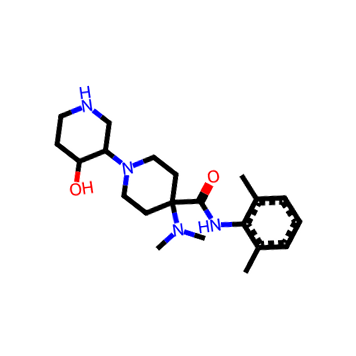 Cc1cccc(C)c1NC(=O)C1(N(C)C)CCN(C2CNCCC2O)CC1